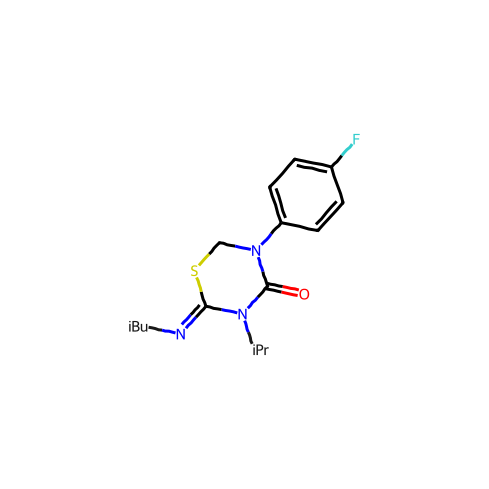 CCC(C)N=C1SCN(c2ccc(F)cc2)C(=O)N1C(C)C